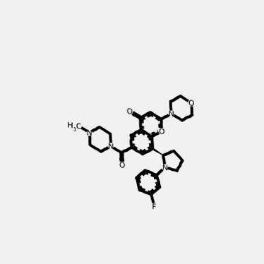 CN1CCN(C(=O)c2cc([C@H]3CCCN3c3cccc(F)c3)c3oc(N4CCOCC4)cc(=O)c3c2)CC1